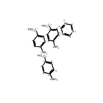 Nc1ccc(C(=O)O)cc1.Nc1ccc(C(=O)O)cc1.Nc1ccc(C(=O)O)cc1.c1ncncn1